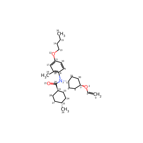 C=CO[C@H]1CC[C@H](N(c2ccc(OCCCC)cc2C)C(=O)[C@H]2CC[C@H](C)CC2)CC1